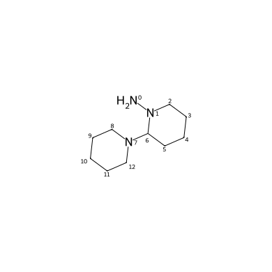 NN1CCCCC1N1CCCCC1